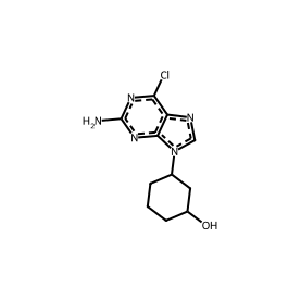 Nc1nc(Cl)c2ncn(C3CCCC(O)C3)c2n1